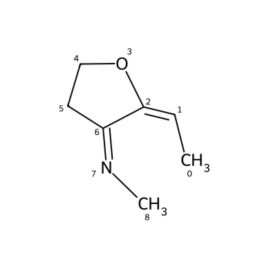 C/C=C1/OCC/C1=N/C